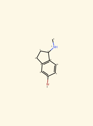 CNC1CCc2cc(Br)ccc21